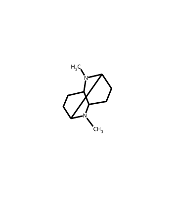 CN1C2CCC3C1CCC2N3C